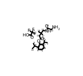 CC(C)c1cccc(C(C)C)c1OC(=O)CC(C)(C)CNC(=O)CN.O=C(O)C(F)(F)F